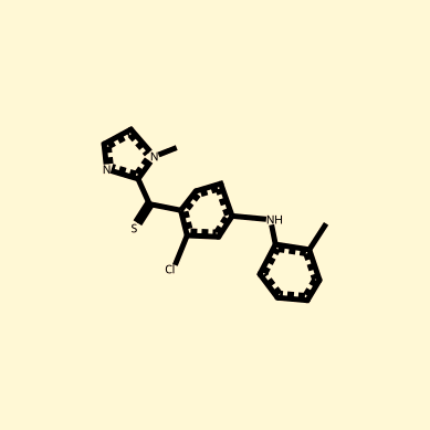 Cc1ccccc1Nc1ccc(C(=S)c2nccn2C)c(Cl)c1